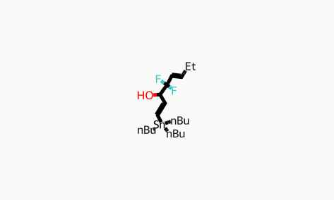 CC/C=C/C(F)(F)C(O)/C=[CH]/[Sn]([CH2]CCC)([CH2]CCC)[CH2]CCC